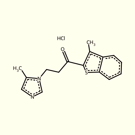 Cc1c(C(=O)CCn2cncc2C)sc2ccccc12.Cl